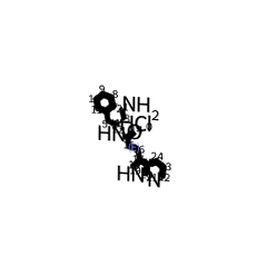 Cl.NCC[C@H](Cc1ccccc1)NC(=O)/C=C/c1c[nH]c2ncccc12